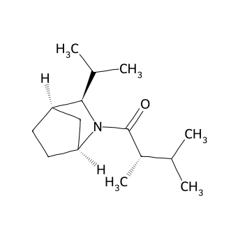 CC(C)[C@H](C)C(=O)N1[C@H]2CC[C@H](C2)[C@H]1C(C)C